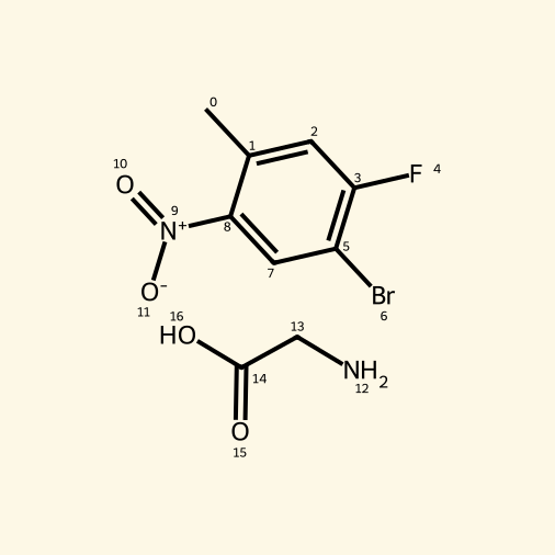 Cc1cc(F)c(Br)cc1[N+](=O)[O-].NCC(=O)O